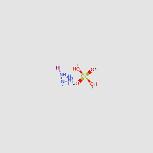 I.N.N.N.O=S(=O)(O)O